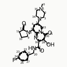 CN1CCN(c2cc(N3CCCC3=O)c3nc(C(=O)NCc4ccc(F)cc4)c(O)c(=O)n3c2)CC1